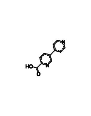 O=C(O)c1ccc(-c2ccncc2)cn1